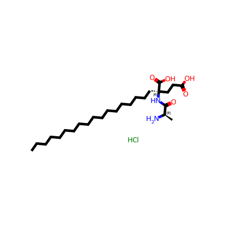 CCCCCCCCCCCCCCCCCC[C@](CCC(=O)O)(NC(=O)[C@@H](C)N)C(=O)O.Cl